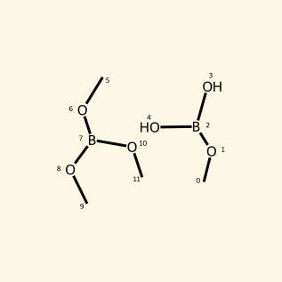 COB(O)O.COB(OC)OC